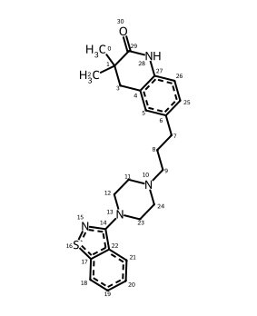 CC1(C)Cc2cc(CCCN3CCN(c4nsc5ccccc45)CC3)ccc2NC1=O